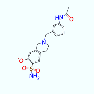 COc1cc2c(cc1S(N)(=O)=O)CCN(Cc1cccc(NC(C)=O)c1)C2